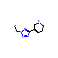 CCn1nnc(C2=CCCNC2)n1